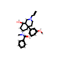 C=CCN1CCC2(c3cccc(OC)c3)C[C@H](N(C)C(=O)c3ccccc3)CC(O)C2C1